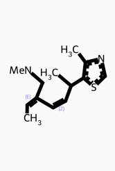 C/C=C(\C=C/C(C)c1scnc1C)CNC